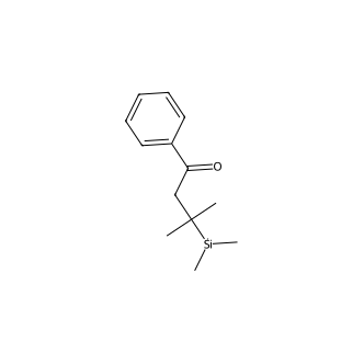 C[Si](C)C(C)(C)CC(=O)c1ccccc1